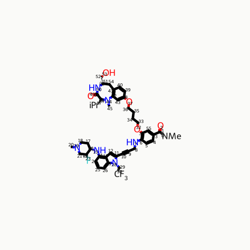 CNC(=O)c1ccc(NCC#Cc2cc3c(N[C@@H]4CCN(C)C[C@@H]4F)cccc3n2CC(F)(F)F)c(OCCCCOc2ccc3c(c2)N(C)[C@@H](C(C)C)C(=O)N[C@H](CO)C3)c1